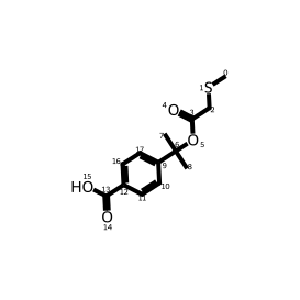 CSCC(=O)OC(C)(C)c1ccc(C(=O)O)cc1